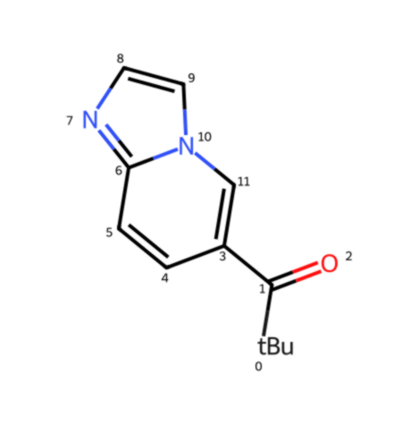 CC(C)(C)C(=O)c1ccc2nccn2c1